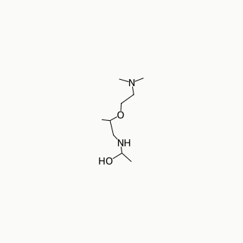 CC(O)NCC(C)OCCN(C)C